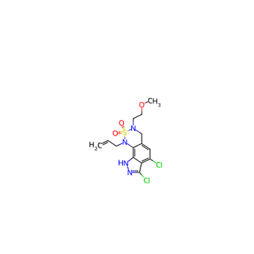 C=CCN1c2c(cc(Cl)c3c(Cl)n[nH]c23)CN(CCOC)S1(=O)=O